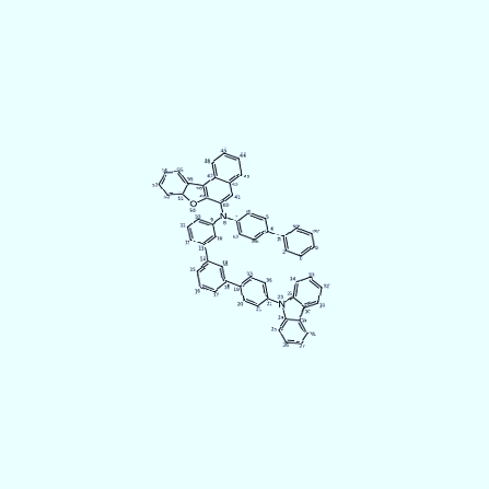 c1ccc(-c2ccc(N(c3cccc(-c4cccc(-c5ccc(-n6c7ccccc7c7ccccc76)cc5)c4)c3)c3cc4ccccc4c4c3oc3ccccc34)cc2)cc1